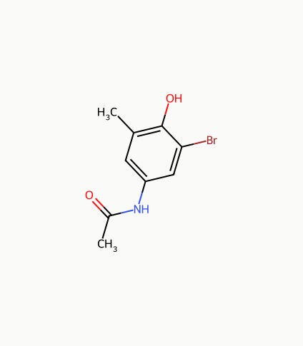 CC(=O)Nc1cc(C)c(O)c(Br)c1